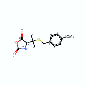 COc1ccc(CSC(C)(C)[C@H]2NC(=O)OC2=O)cc1